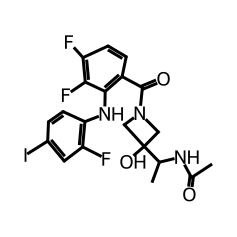 CC(=O)NC(C)C1(O)CN(C(=O)c2ccc(F)c(F)c2Nc2ccc(I)cc2F)C1